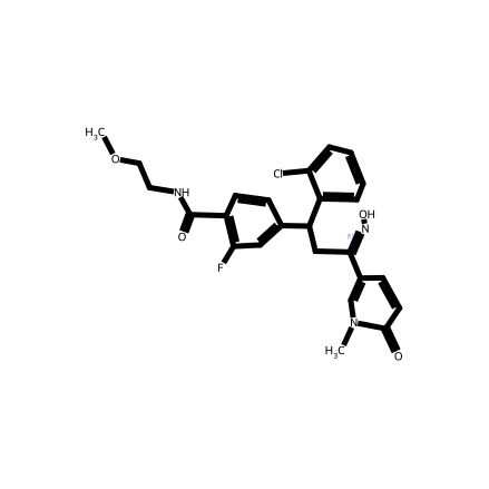 COCCNC(=O)c1ccc(C(C/C(=N\O)c2ccc(=O)n(C)c2)c2ccccc2Cl)cc1F